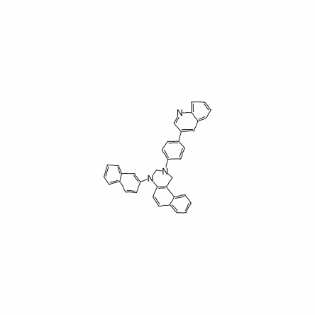 c1ccc2cc(N3CN(c4ccc(-c5cnc6ccccc6c5)cc4)Cc4c3ccc3ccccc43)ccc2c1